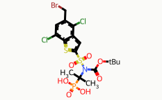 CC(C)(C)OC(=O)N(C(C)(C)P(=O)(O)O)S(=O)(=O)c1cc2c(Cl)c(CBr)cc(Cl)c2s1